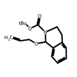 C=CCOC1c2ccccc2CCN1C(=O)OC(C)(C)C